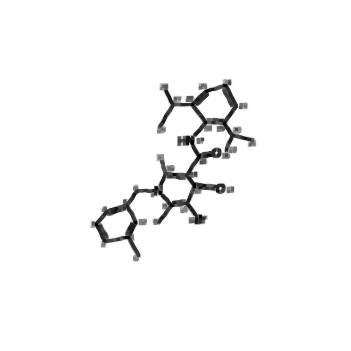 Cc1cccc(Cn2c(C)c(Br)c(=O)c(C(=O)Nc3c(C(C)C)cccc3C(C)C)c2C)c1